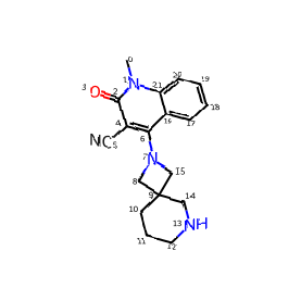 Cn1c(=O)c(C#N)c(N2CC3(CCCNC3)C2)c2ccccc21